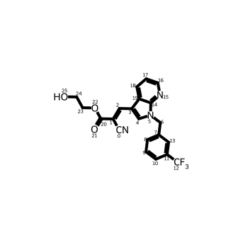 N#C/C(=C\c1cn(Cc2cccc(C(F)(F)F)c2)c2ncccc12)C(=O)OCCO